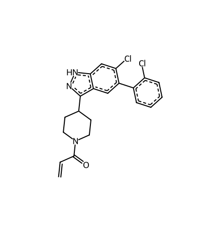 C=CC(=O)N1CCC(c2n[nH]c3cc(Cl)c(-c4ccccc4Cl)cc23)CC1